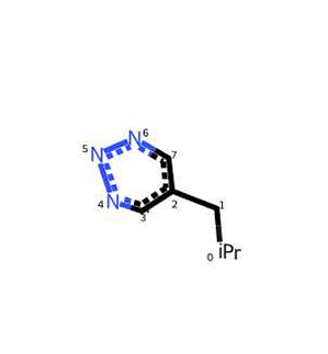 CC(C)Cc1[c]nnnc1